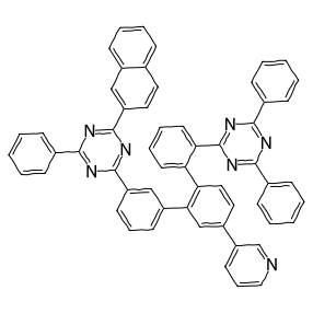 c1ccc(-c2nc(-c3cccc(-c4cc(-c5cccnc5)ccc4-c4ccccc4-c4nc(-c5ccccc5)nc(-c5ccccc5)n4)c3)nc(-c3ccc4ccccc4c3)n2)cc1